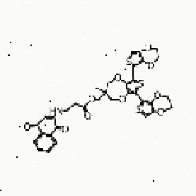 CC1(COC(=O)CCNC2=CC(=O)c3ccccc3C2=O)COc2c(-c3scc4c3OCCO4)sc(-c3scc4c3OCCO4)c2OC1